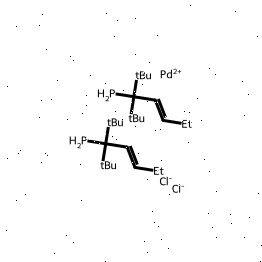 CCC=CC(P)(C(C)(C)C)C(C)(C)C.CCC=CC(P)(C(C)(C)C)C(C)(C)C.[Cl-].[Cl-].[Pd+2]